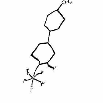 CC1CCC(C2CCC(S(F)(F)(F)(F)F)C(F)C2)CC1